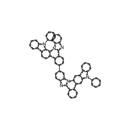 c1ccc(-n2c3ccccc3c3cc4c(cc32)c2ccccc2c2nc3ccc(-c5ccc6c(c5)c5ccc7c8ccccc8n(-c8ccccc8)c7c5n5c7ccccc7nc65)cc3n42)cc1